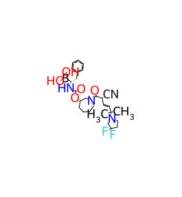 CC(C)(/C=C/C(C#N)C(=O)N1CCCC[C@@H](OC(=O)N[C@@H](Cc2ccccc2)B(O)O)C1)N1CCC(F)(F)C1